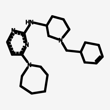 C1=CCC(CN2CCCC(Nc3nccc(N4CCCCCC4)n3)C2)CC1